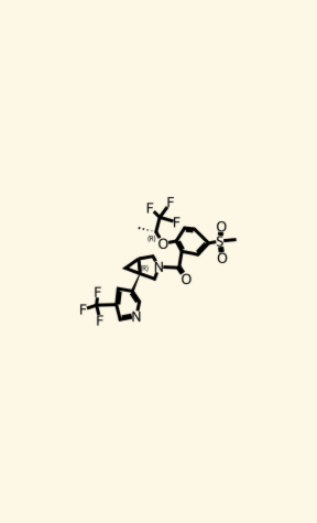 C[C@@H](Oc1ccc(S(C)(=O)=O)cc1C(=O)N1CC2C[C@@]2(c2cncc(C(F)(F)F)c2)C1)C(F)(F)F